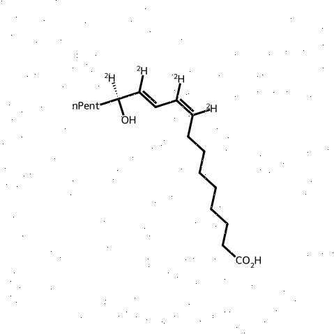 [2H]C(/C=C(\[2H])[C@@]([2H])(O)CCCCC)=C(\[2H])CCCCCCCC(=O)O